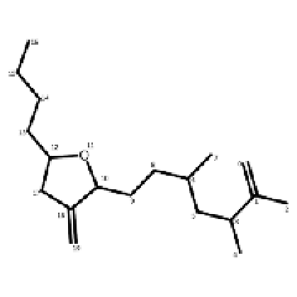 C=C(C)C(C)CC(C)CCC1OC(CCCC)CC1=C